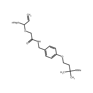 C=CC(CCCCCCC)OCC(=O)NCc1ccc(OCCC(C)(C)NC)cc1